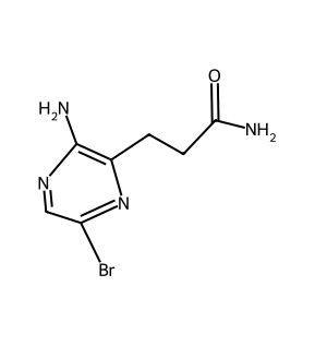 NC(=O)CCc1nc(Br)cnc1N